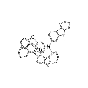 CC1(C)c2ccccc2-c2ccc(N(c3ccc4c(c3)oc3ccccc34)c3cccc4sc5ccc6c(oc7ccc8ccccc8c76)c5c34)cc21